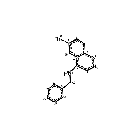 Brc1ccc2nncc(NCc3ccccc3)c2c1